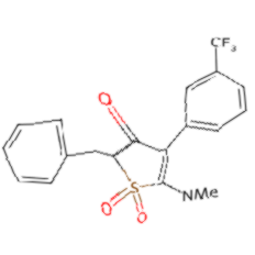 CNC1=C(c2cccc(C(F)(F)F)c2)C(=O)C(c2ccccc2)S1(=O)=O